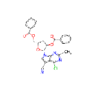 Cc1nc(Cl)c2c(C#N)cn(C3O[C@H](COC(=O)c4ccccc4)C[C@H]3OC(=O)c3ccccc3)c2n1